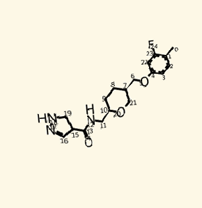 Cc1ccc(OC[C@@H]2CC[C@H](CNC(=O)C3C=NNC3)OC2)cc1F